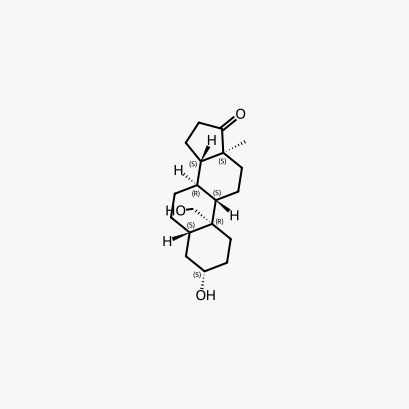 C[C@]12CC[C@H]3[C@@H](CC[C@H]4C[C@@H](O)CC[C@@]43CO)[C@@H]1CCC2=O